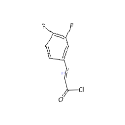 O=C(Cl)/C=C/c1ccc(F)c(F)c1